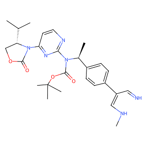 CN/C=C(\C=N)c1ccc([C@H](C)N(C(=O)OC(C)(C)C)c2nccc(N3C(=O)OC[C@@H]3C(C)C)n2)cc1